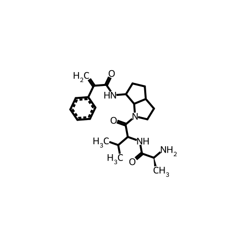 C=C(C(=O)NC1CCC2CCN(C(=O)C(NC(=O)[C@H](C)N)C(C)C)C21)c1ccccc1